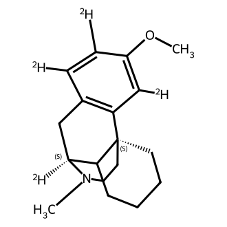 [2H]c1c([2H])c(OC)c([2H])c2c1C[C@@]1([2H])C3CCCC[C@@]23CCN1C